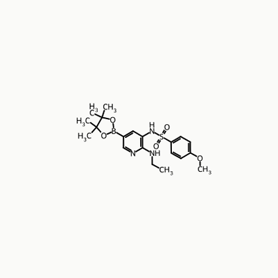 CCNc1ncc(B2OC(C)(C)C(C)(C)O2)cc1NS(=O)(=O)c1ccc(OC)cc1